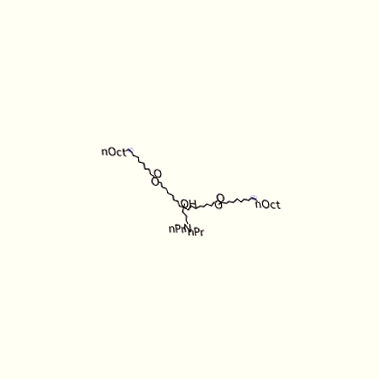 CCCCCCCC/C=C\CCCCCCCC(=O)OCCCCCCCCC(O)(CCCCCCCCOC(=O)CCCCCCC/C=C\CCCCCCCC)CCCCN(CCC)CCC